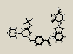 CC(C)(C)OC(=O)CN(CCN1CCOCC1)Cc1ccc(C(=O)Oc2cccc3c2CN(C2CCC(=O)NC2=O)C3)cc1